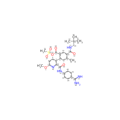 COc1ccc(-c2cc(C)c(C(=O)NCC(C)(C)C)cc2C(=O)OS(C)(=O)=O)c(C(=O)Nc2ccc(C(=N)N)cc2)n1